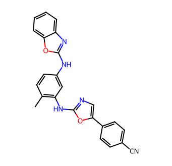 Cc1ccc(Nc2nc3ccccc3o2)cc1Nc1ncc(-c2ccc(C#N)cc2)o1